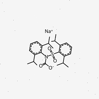 CC(C)c1cccc(C(C)C)c1N(C(=O)[O-])S(=O)(=O)c1c(C(C)C)cccc1C(C)C.[Na+]